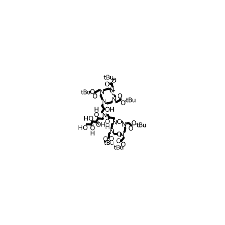 CC(C)(C)OC(=O)CN1CCN(CC(=O)OC(C)(C)C)CCN(CC(O)CN(CC(O)CN2CCN(CC(=O)OC(C)(C)C)CCN(CC(=O)OC(C)(C)C)CCN(CC(=O)OC(C)(C)C)CC2)C[C@H](O)[C@@H](O)[C@H](O)[C@H](O)CO)CCN(CC(=O)OC(C)(C)C)CC1